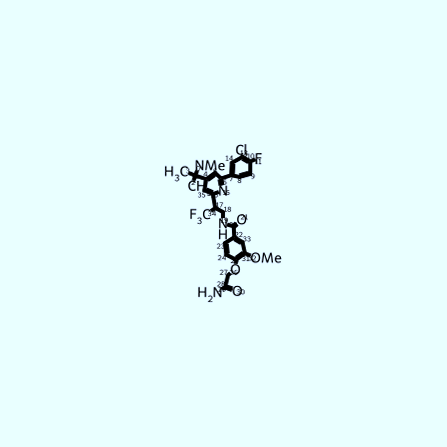 CNC(C)(C)c1cc(-c2ccc(F)c(Cl)c2)nc(C(CNC(=O)c2ccc(OCC(N)=O)c(OC)c2)C(F)(F)F)c1